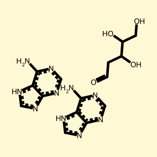 Nc1ncnc2nc[nH]c12.Nc1ncnc2nc[nH]c12.O=CCC(O)C(O)CO